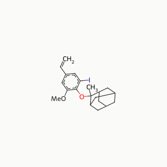 C=Cc1cc(I)c(OC2(C)C3CC4CC(C3)CC2C4)c(OC)c1